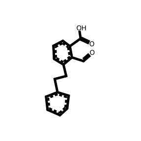 O=Cc1c(CCc2ccccc2)cccc1C(=O)O